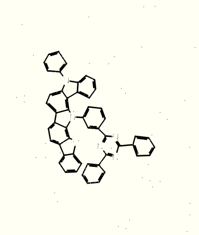 c1ccc(-c2nc(-c3ccccc3)nc(-c3cccc(-n4c5c(ccc6c7ccccc7oc65)c5ccc6c(c7ccccc7n6-c6ccccc6)c54)c3)n2)cc1